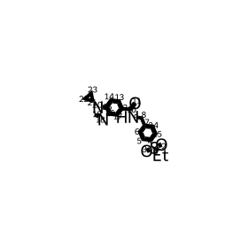 CCS(=O)(=O)c1ccc(CNC(=O)c2ccc3c(c2)ncn3C2CC2)cc1